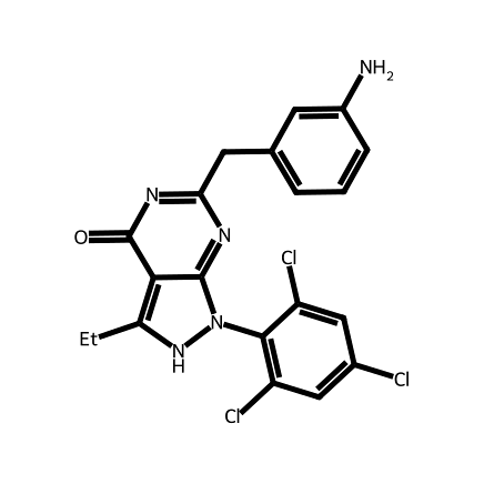 CCc1[nH]n(-c2c(Cl)cc(Cl)cc2Cl)c2nc(Cc3cccc(N)c3)nc(=O)c1-2